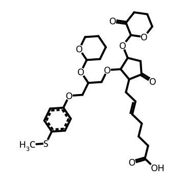 CSc1ccc(OCC(COC2C(OC3OCCCC3=O)CC(=O)C2CC=CCCCC(=O)O)OC2CCCCO2)cc1